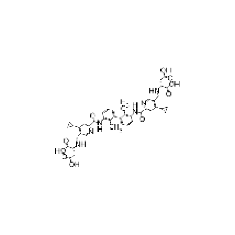 Cc1c(NC(=O)c2cc(C3CC3)c(CN[C@H](CC(=O)O)C(=O)O)cn2)cccc1-c1cccc(NC(=O)c2cc(C3CC3)c(CN[C@H](CC(=O)O)C(=O)O)cn2)c1C